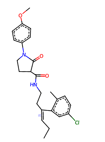 CC/C=C(/CCNC(=O)C1CCN(c2ccc(OC)cc2)C1=O)c1cc(Cl)ccc1C